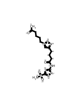 CC(=O)CCCCn1cc(CCCC(=O)Nc2nnc(S(N)(=O)=O)s2)nn1